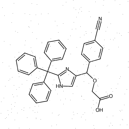 N#Cc1ccc(C(OCC(=O)O)c2c[nH]c(C(c3ccccc3)(c3ccccc3)c3ccccc3)n2)cc1